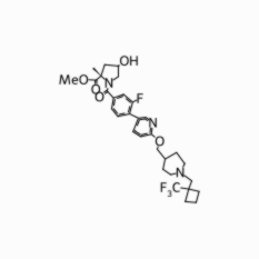 COC(=O)[C@]1(C)C[C@@H](O)CN1C(=O)c1ccc(-c2ccc(OCC3CCN(CC4(C(F)(F)F)CCC4)CC3)nc2)c(F)c1